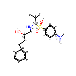 CC(C)[C@@H](NC[C@H](O)[CH]Cc1ccccc1)S(=O)(=O)c1ccc(N(C)C)cc1